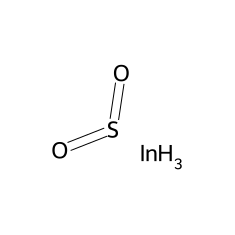 O=S=O.[InH3]